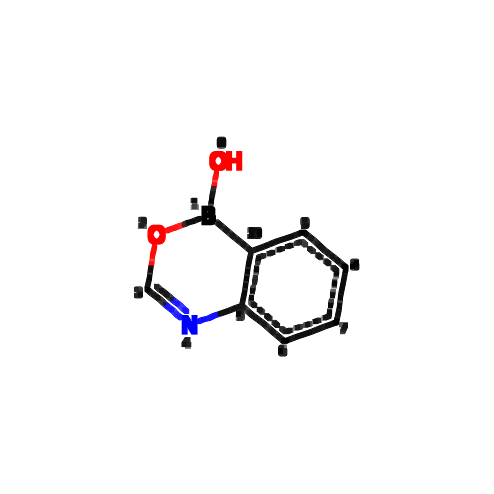 OB1OC=Nc2ccccc21